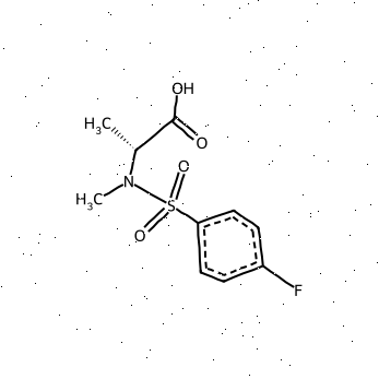 C[C@H](C(=O)O)N(C)S(=O)(=O)c1ccc(F)cc1